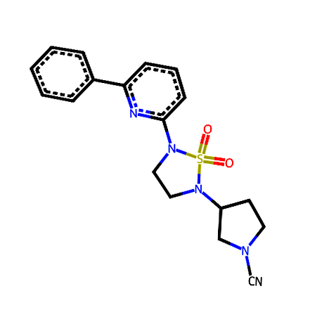 N#CN1CCC(N2CCN(c3cccc(-c4ccccc4)n3)S2(=O)=O)C1